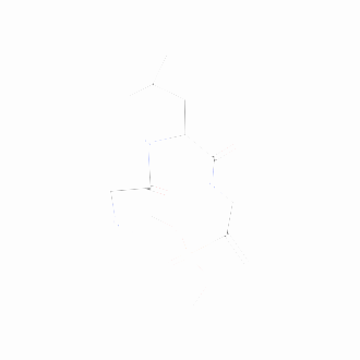 C=C(CNC(=O)C(CC(C)C)NC(=O)CN)P(=O)(OC)OC